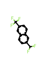 F[C](F)c1ccc2cc(C(F)(F)F)ccc2c1